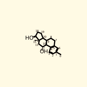 Cc1ccc2c(c1)CCC1C2[C@H](O)C[C@]2(C)C(O)CCC12